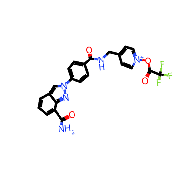 NC(=O)c1cccc2cn(-c3ccc(C(=O)NCc4cc[n+](OC(=O)C(F)(F)F)cc4)cc3)nc12